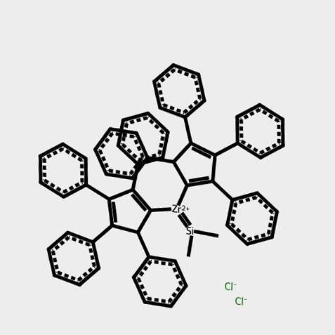 C[Si](C)=[Zr+2]([C]1=C(c2ccccc2)C(c2ccccc2)=C(c2ccccc2)C1c1ccccc1)[C]1=C(c2ccccc2)C(c2ccccc2)=C(c2ccccc2)C1c1ccccc1.[Cl-].[Cl-]